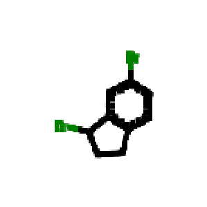 Brc1ccc2c(c1)C(Br)CC2